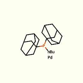 CCCCP(C12CC3CC(CC(C3)C1)C2)C12CC3CC(CC(C3)C1)C2.[Pd]